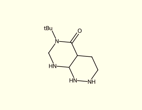 CC(C)(C)N1CNC2NNCCC2C1=O